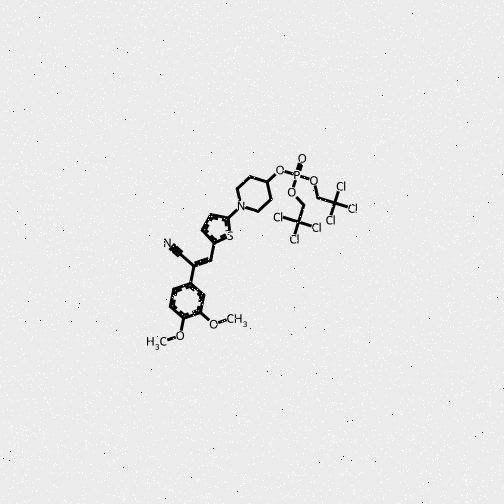 COc1ccc(C(C#N)=Cc2ccc(N3CCC(OP(=O)(OCC(Cl)(Cl)Cl)OCC(Cl)(Cl)Cl)CC3)s2)cc1OC